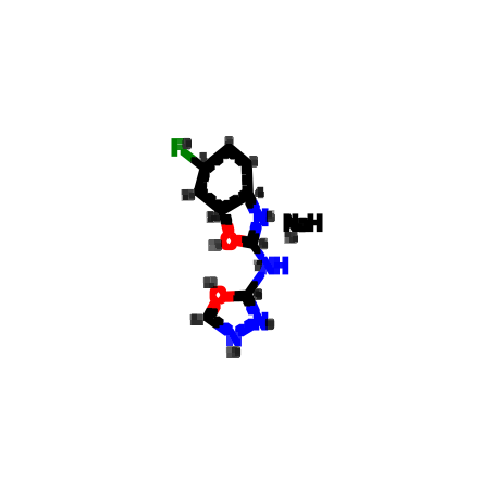 Fc1ccc2nc(Nc3nnco3)oc2c1.[NaH]